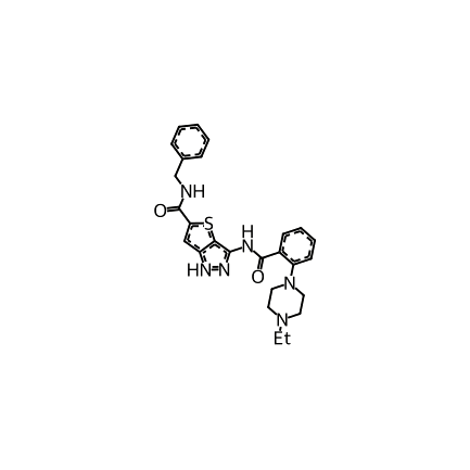 CCN1CCN(c2ccccc2C(=O)Nc2n[nH]c3cc(C(=O)NCc4ccccc4)sc23)CC1